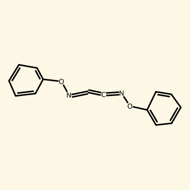 C(=C=NOc1ccccc1)=NOc1ccccc1